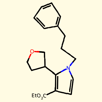 CCOC(=O)c1ccn(CCCc2ccccc2)c1C1CCOC1